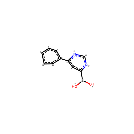 OB(O)c1cc(-c2ccccc2)ncn1